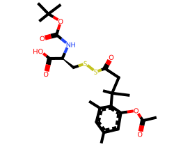 CC(=O)Oc1cc(C)cc(C)c1C(C)(C)CC(=O)SSC[C@H](NC(=O)OC(C)(C)C)C(=O)O